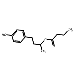 CCCC(=O)OC(C)CCc1ccc(O)cc1